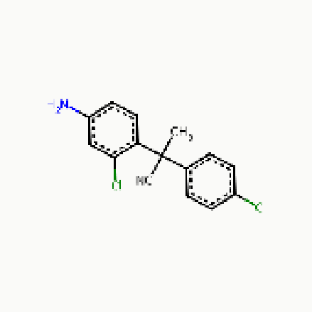 CC(C#N)(c1ccc(Cl)cc1)c1ccc(N)cc1Cl